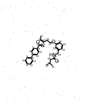 Cc1oc(-c2ccc(-c3ccccc3)cc2)nc1CCOc1[c]c(CNC(=O)CC(C)C)ccc1